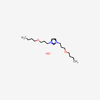 CCCCOCCCn1cc[n+](CCCOCCCC)c1.[OH-]